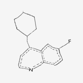 Fc1ccc2nccc(C3CC[CH]CC3)c2c1